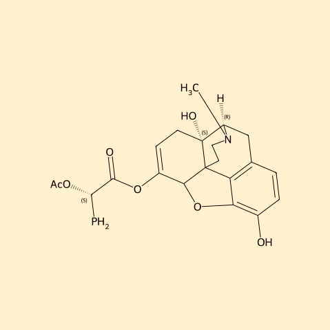 CC(=O)O[C@@H](P)C(=O)OC1=CC[C@@]2(O)[C@H]3Cc4ccc(O)c5c4C2(CCN3C)C1O5